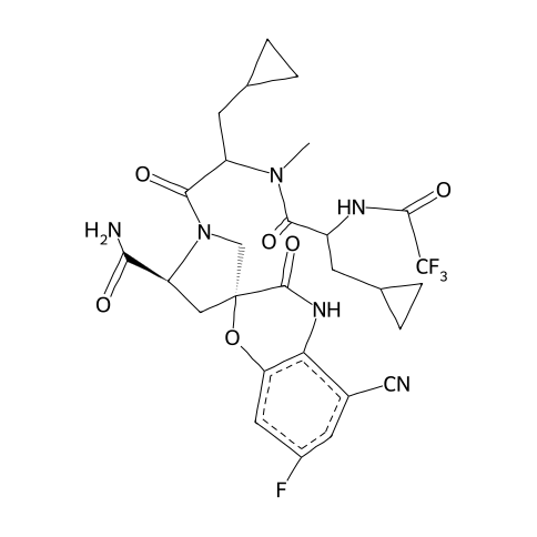 CN(C(=O)C(CC1CC1)NC(=O)C(F)(F)F)C(CC1CC1)C(=O)N1C[C@@]2(C[C@H]1C(N)=O)Oc1cc(F)cc(C#N)c1NC2=O